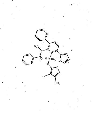 Cc1noc(NS(=O)(=O)c2c(-c3ncco3)ccc(-c3ccccc3)c2N(C)C(=O)c2ccccc2)c1C